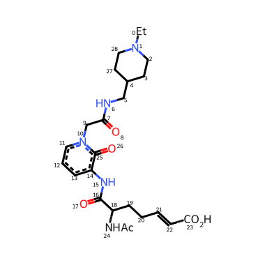 CCN1CCC(CNC(=O)Cn2cccc(NC(=O)C(CCC=CC(=O)O)NC(C)=O)c2=O)CC1